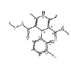 CCOC(=O)C1=C(C)NC(C)=C(C(=O)OC)C1c1cccc(F)c1Cl